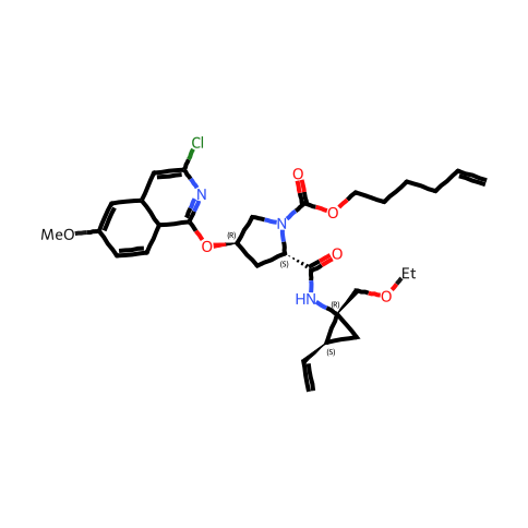 C=CCCCCOC(=O)N1C[C@H](OC2=NC(Cl)=CC3C=C(OC)C=CC23)C[C@H]1C(=O)N[C@]1(COCC)C[C@H]1C=C